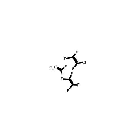 C=C(F)F.FC(F)=C(F)Cl.FC(F)=C(F)F